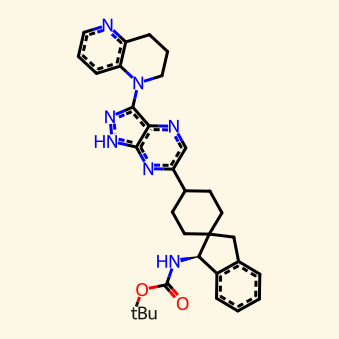 CC(C)(C)OC(=O)N[C@@H]1c2ccccc2CC12CCC(c1cnc3c(N4CCCc5ncccc54)n[nH]c3n1)CC2